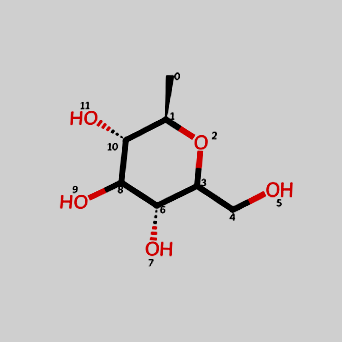 C[C@H]1OC(CO)[C@H](O)C(O)[C@@H]1O